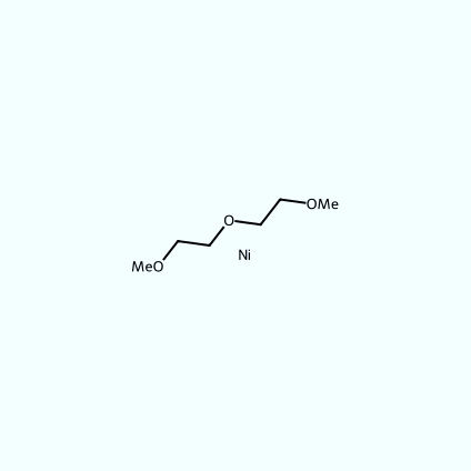 COCCOCCOC.[Ni]